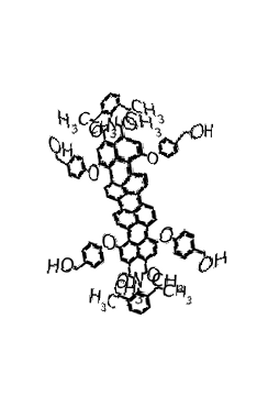 CC(C)c1cccc(C(C)C)c1N1C(=O)c2cc(Oc3ccc(CO)cc3)c3c4ccc5c6ccc7c8c(Oc9ccc(CO)cc9)cc9c%10c(cc(Oc%11ccc(CO)cc%11)c(c%11ccc(c%12ccc(c%13c(Oc%14ccc(CO)cc%14)cc(c2c3%13)C1=O)c4c5%12)c6c7%11)c%108)C(=O)N(c1c(C(C)C)cccc1C(C)C)C9=O